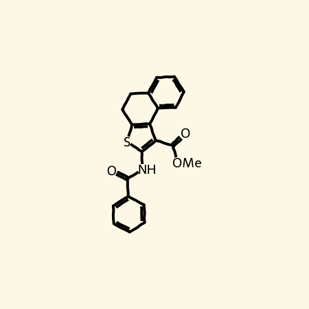 COC(=O)c1c(NC(=O)c2ccccc2)sc2c1-c1ccccc1CC2